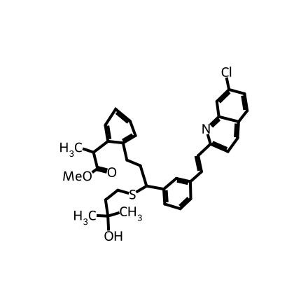 COC(=O)C(C)c1ccccc1CCC(SCCC(C)(C)O)c1cccc(/C=C/c2ccc3ccc(Cl)cc3n2)c1